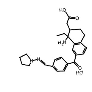 CCC1(N)c2cc(C(=O)c3ccc(C=NN4CCCC4)cc3)ccc2CCC1CC(=O)O.Cl